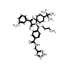 CCCC[C@H](c1ccc(C(=O)NCc2nn[nH]n2)cc1)N1C(=O)C(c2cccc(C)c2)=NC12CCC(C(C)(C)C)CC2